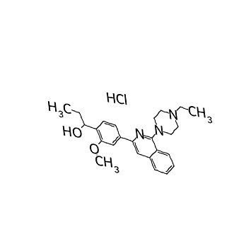 CCC(O)c1ccc(-c2cc3ccccc3c(N3CCN(CC)CC3)n2)cc1OC.Cl